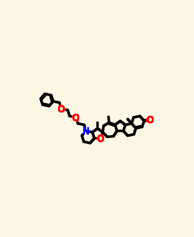 CC1=C2CC3C(CCC4=CC(=O)CCC43C)C2CCC2(C1)OC1CCCN(CCOCCOCc3ccccc3)C1C2C